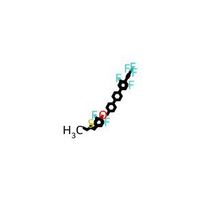 CCCc1cc2cc(F)c(OCC3CCC(C4CCC(c5cc(F)c(C#CC(F)(F)F)c(F)c5)CC4)CC3)c(F)c2s1